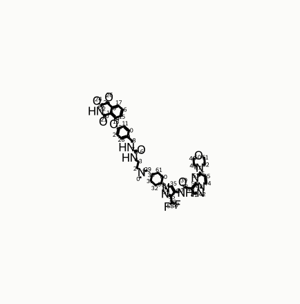 CN(CCNC(=O)NCc1ccc(Oc2cccc3c2C(=O)NC(=O)C3=O)cc1)C[C@H]1CC[C@H](n2cc(NC(=O)c3cnn4ccc(N5CCOCC5)nc34)c(C(F)F)n2)CC1